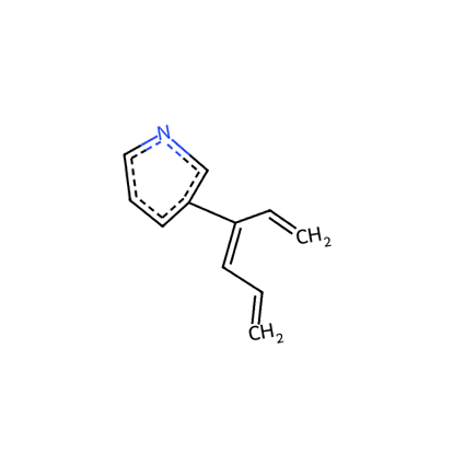 C=C/C=C(\C=C)c1cccnc1